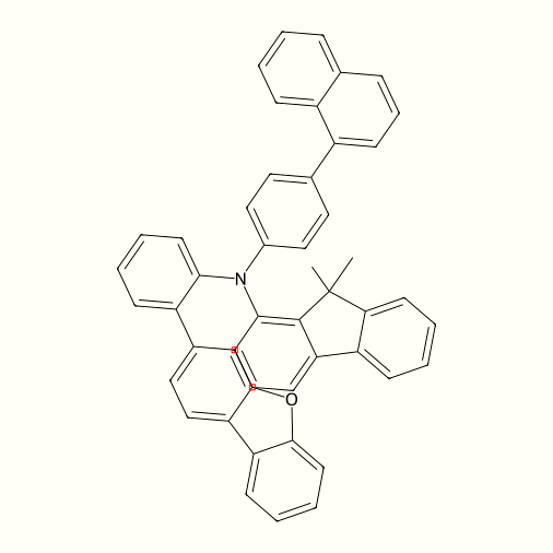 CC1(C)c2ccccc2-c2cccc(N(c3ccc(-c4cccc5ccccc45)cc3)c3ccccc3-c3ccc4c(c3)oc3ccccc34)c21